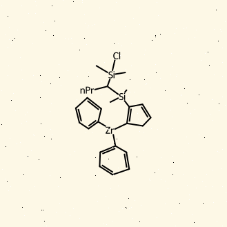 CCCC([Si](C)(C)Cl)[Si](C)(C)C1=[C]([Zr]([c]2ccccc2)[c]2ccccc2)CC=C1